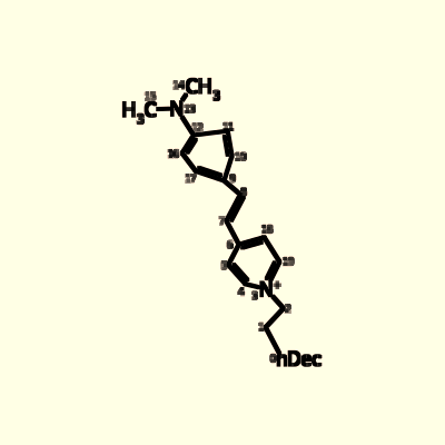 CCCCCCCCCCCC[n+]1ccc(/C=C/c2ccc(N(C)C)cc2)cc1